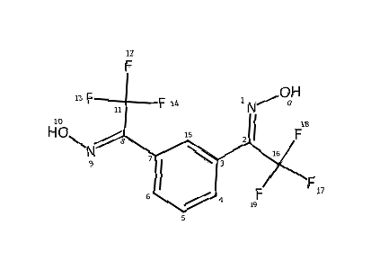 ON=C(c1cccc(C(=NO)C(F)(F)F)c1)C(F)(F)F